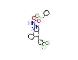 O=C(Nc1ncc2c(n1)-c1ccccc1C(c1ccc(Cl)c(Cl)c1)C2)OC(Cl)Cc1ccccc1